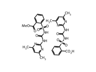 COC(=O)c1ccccc1S(=O)(=O)NC(=O)Nc1nc(C)cc(C)n1.Cc1cc(C)nc(NC(=O)NS(=O)(=O)c2ccccc2C(=O)O)n1